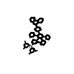 Cc1cc(C)cc(N(c2cc(C)cc(C)c2)c2ccc3c(c2)c2ccccc2c2c(-c4ccccc4)cc(-c4ccc(-c5cc6ccccc6c6ccccc56)cc4)c(-c4ccccc4)c32)c1